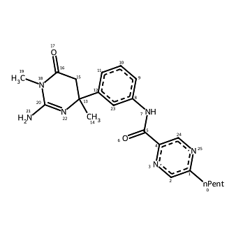 CCCCCc1cnc(C(=O)Nc2cccc(C3(C)CC(=O)N(C)C(N)=N3)c2)cn1